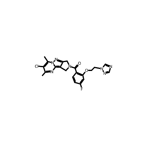 Cc1nc2c3c(nn2c(C)c1Cl)CN(C(=O)c1ccc(F)cc1OCCn1cncn1)C3